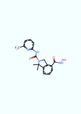 CC1(C)c2cccc(C(=O)NO)c2CN1C(=O)Nc1cccc(C(F)(F)F)n1